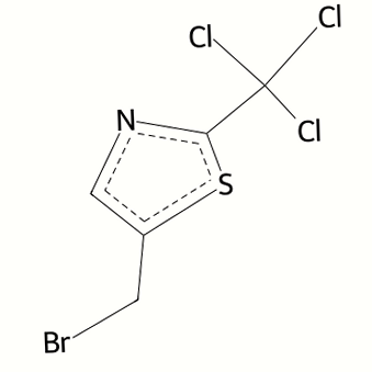 ClC(Cl)(Cl)c1ncc(CBr)s1